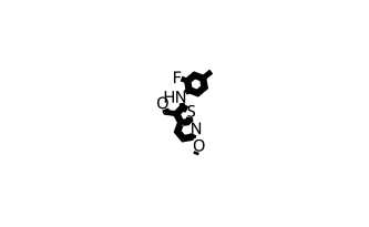 COc1ccc2c(C=O)c(Nc3ccc(C)cc3F)sc2n1